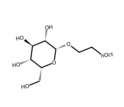 CCCCCCCCCCO[C@@H]1O[C@H](CO)[C@H](O)[C@@H](O)[C@@H]1O